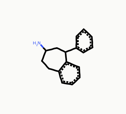 NC1CCc2ccccc2C(c2ccccc2)C1